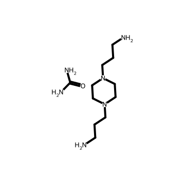 NC(N)=O.NCCCN1CCN(CCCN)CC1